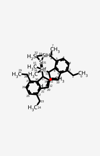 CCc1ccc(CC)c2c1C=C(C)[CH]2[Hf]([CH3])([CH3])([CH]1C(C)=Cc2c(CC)ccc(CC)c21)=[Si]1[SiH2][SiH2]1